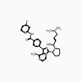 CN(C)C/C=C/C(O)N1CCCC[C@H]1c1nc(-c2ccc(C(=O)Nc3cc(F)ccn3)cc2)c2c(N)nccn12